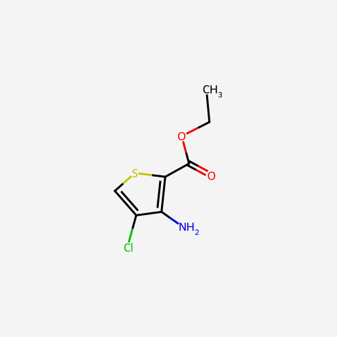 CCOC(=O)c1scc(Cl)c1N